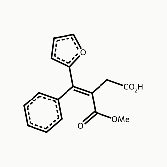 COC(=O)C(CC(=O)O)=C(c1ccccc1)c1ccco1